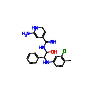 Cc1ccc(NC(c2ccccc2)C(O)NC(=N)C2=CCNC(N)=C2)cc1Cl